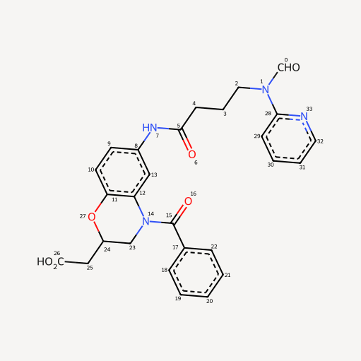 O=CN(CCCC(=O)Nc1ccc2c(c1)N(C(=O)c1ccccc1)CC(CC(=O)O)O2)c1ccccn1